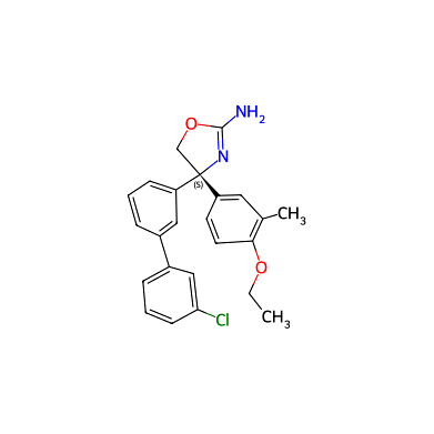 CCOc1ccc([C@@]2(c3cccc(-c4cccc(Cl)c4)c3)COC(N)=N2)cc1C